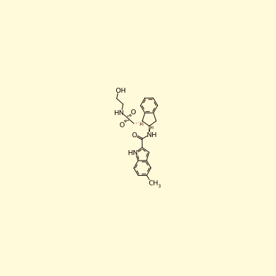 Cc1ccc2[nH]c(C(=O)N[C@@H]3Cc4ccccc4[C@H]3CS(=O)(=O)NCCO)cc2c1